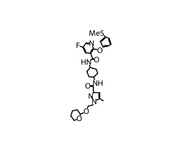 CSc1cccc(Oc2ncc(F)cc2C(=O)NC2CCC(NC(=O)c3cc(C)n(CCOC4CCCCO4)n3)CC2)c1